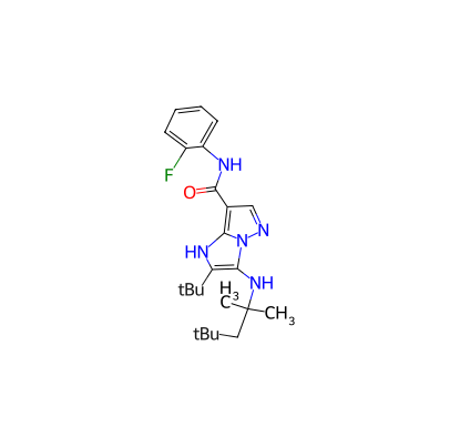 CC(C)(C)CC(C)(C)Nc1c(C(C)(C)C)[nH]c2c(C(=O)Nc3ccccc3F)cnn12